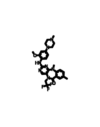 COc1cc(N2CCN(C)CC2)ccc1Nc1ncc2c(n1)N(C)c1ccc(C)cc1C(=O)N2CC(F)(F)F